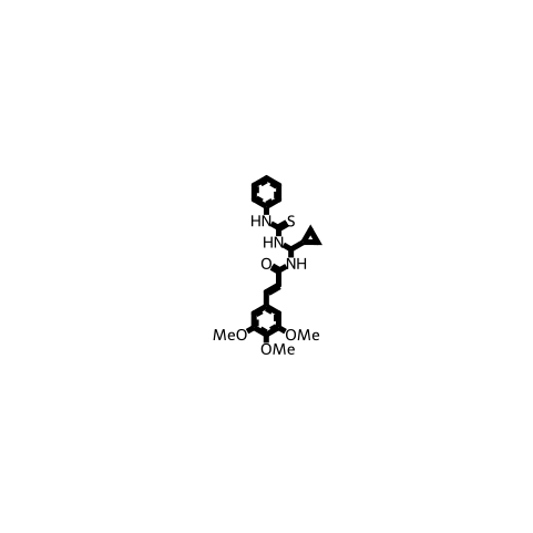 COc1cc(C=CC(=O)NC(NC(=S)Nc2ccccc2)C2CC2)cc(OC)c1OC